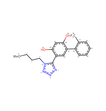 COCCCn1nnnc1-c1cc(-c2ccccc2C(F)(F)F)c(O)cc1O